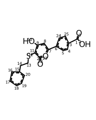 O=C(O)c1ccc(-c2cc(O)c(SCCc3ccccc3)c(=O)o2)cc1